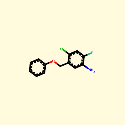 Nc1cc(COc2ccccc2)c(Cl)cc1F